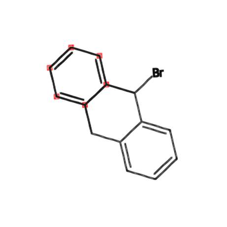 BrC12c3ccccc3C(c3ccccc31)c1ccccc12